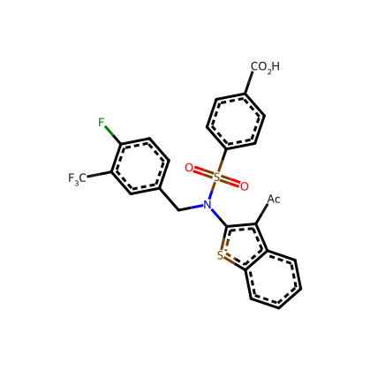 CC(=O)c1c(N(Cc2ccc(F)c(C(F)(F)F)c2)S(=O)(=O)c2ccc(C(=O)O)cc2)sc2ccccc12